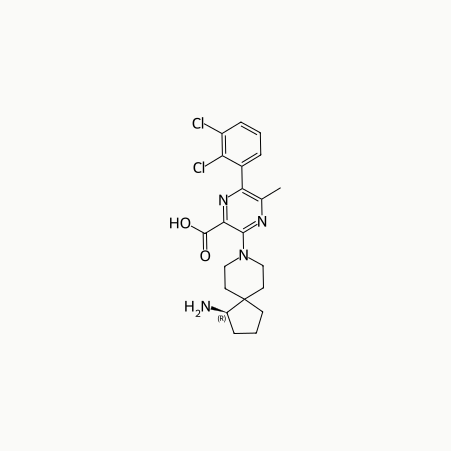 Cc1nc(N2CCC3(CCC[C@H]3N)CC2)c(C(=O)O)nc1-c1cccc(Cl)c1Cl